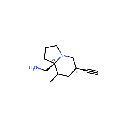 C#C[C@H]1CC(C)[C@]2(CN)CCCN2C1